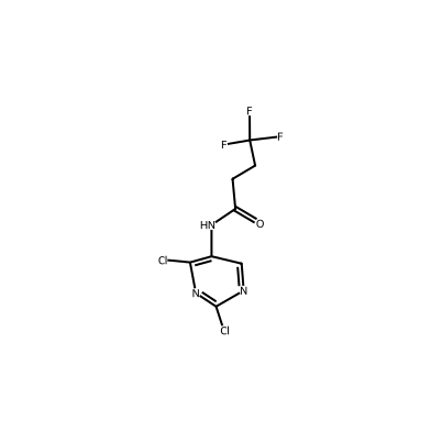 O=C(CCC(F)(F)F)Nc1cnc(Cl)nc1Cl